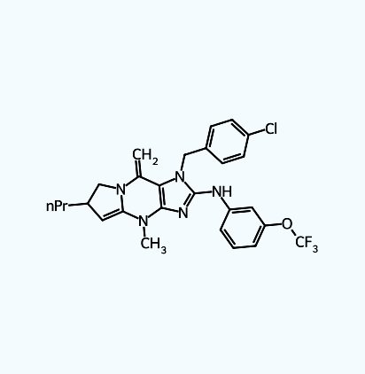 C=C1c2c(nc(Nc3cccc(OC(F)(F)F)c3)n2Cc2ccc(Cl)cc2)N(C)C2=CC(CCC)CN12